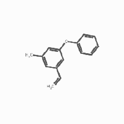 C=Cc1cc(C)cc(Oc2ccccc2)c1